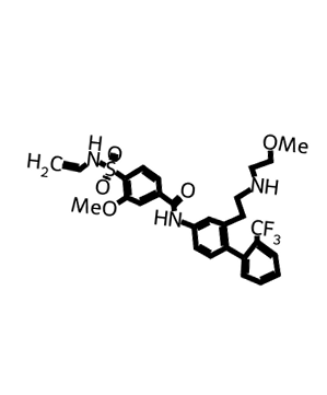 C=CNS(=O)(=O)c1ccc(C(=O)Nc2ccc(-c3ccccc3C(F)(F)F)c(CCNCCOC)c2)cc1OC